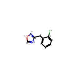 Fc1ccccc1Cc1n[c]on1